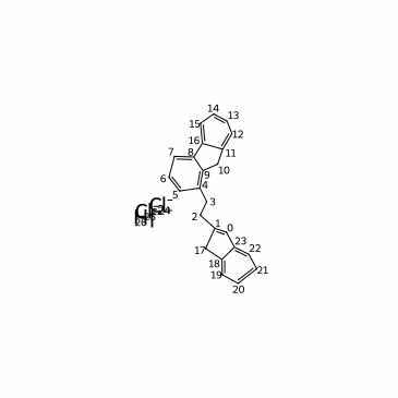 C1=C(CCc2cccc3c2Cc2ccccc2-3)Cc2ccccc21.[Cl-].[Cl-].[Hf+2]